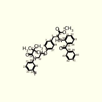 COC(=O)[C@H](Cc1ccc(OCCN(C(=O)C(C)(C)C)c2cccc(F)c2)cc1)Nc1ccccc1C(=O)c1ccccc1